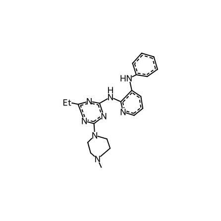 CCc1nc(Nc2ncccc2Nc2ccccc2)nc(N2CCN(C)CC2)n1